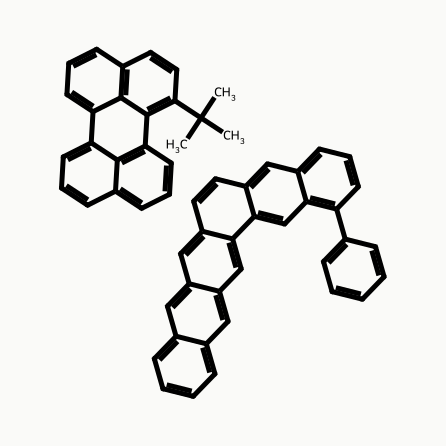 CC(C)(C)c1ccc2cccc3c4cccc5cccc(c1c23)c54.c1ccc(-c2cccc3cc4ccc5cc6cc7ccccc7cc6cc5c4cc23)cc1